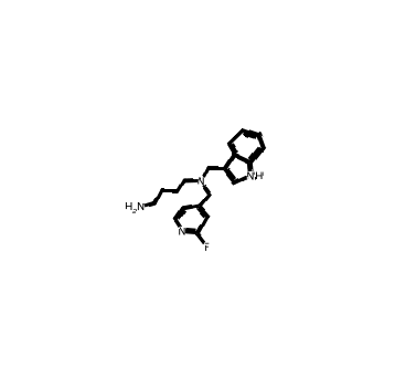 NCCCCN(Cc1ccnc(F)c1)Cc1c[nH]c2ccccc12